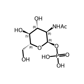 CC(=O)N[C@H]1[C@@H](OP(=O)(O)O)O[C@H](CO)[C@@H](O)[C@@H]1O